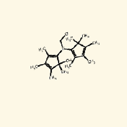 CC1=C(C)C(C)(C)[C]([Ti]([CH2]Cl)[C]2=C(C)C(C)=C(C)C2(C)C)=C1C